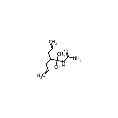 C=CCC(CC=C)C(C)(C)NC(N)=O